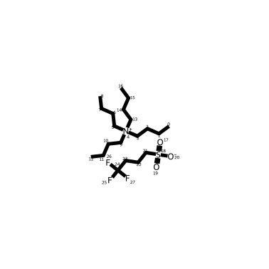 CCCC[N+](CCCC)(CCCC)CCCC.O=S(=O)([O-])CCCC(F)(F)F